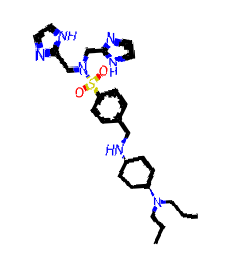 CCCN(CCC)[C@H]1CC[C@H](NCc2ccc(S(=O)(=O)N(Cc3ncc[nH]3)Cc3ncc[nH]3)cc2)CC1